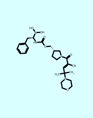 CC(C)(C=C(C#N)C(=O)N1CC[C@H](COC(=O)N[C@@H](Cc2ccccc2)B(O)O)C1)N1CCOCC1